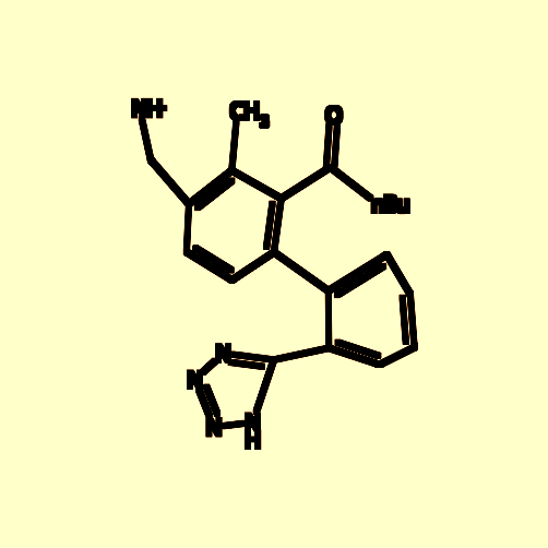 CCCCC(=O)c1c(-c2ccccc2-c2nnn[nH]2)ccc(C[NH])c1C